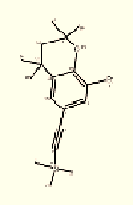 CCc1cc(C#C[Si](C)(C)C)cc2c1OC(C)(C)CC2(C)C